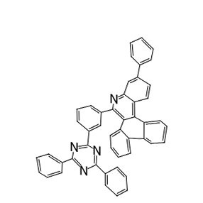 c1ccc(-c2ccc3c(c2)nc(-c2cccc(-c4nc(-c5ccccc5)nc(-c5ccccc5)n4)c2)c2c4ccccc4c4ccccc4c32)cc1